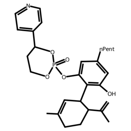 C=C(C)C1CCC(C)=CC1c1c(O)cc(CCCCC)cc1OP1(=O)OCCC(c2ccncc2)O1